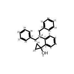 OC1(c2ccccc2N(Cc2ccccc2)Cc2ccccc2)CC1